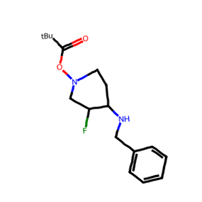 CC(C)(C)C(=O)ON1CCC(NCc2ccccc2)C(F)C1